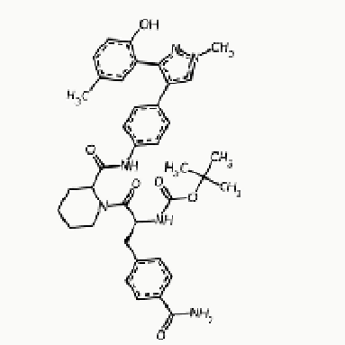 Cc1ccc(O)c(-c2nn(C)cc2-c2ccc(NC(=O)C3CCCCN3C(=O)[C@H](Cc3ccc(C(N)=O)cc3)NC(=O)OC(C)(C)C)cc2)c1